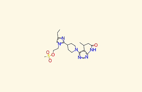 CCc1cn(CCOS(C)(=O)=O)c(C2CCN(c3ncnc4c3C(C)CC(=O)N4)CC2)n1